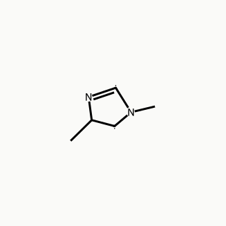 CC1[CH]N(C)[C]=N1